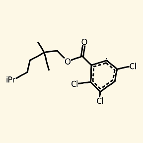 CC(C)CCC(C)(C)COC(=O)c1[c]c(Cl)cc(Cl)c1Cl